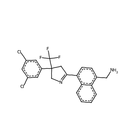 NCc1ccc(C2=NCC(c3cc(Cl)cc(Cl)c3)(C(F)(F)F)C2)c2ccccc12